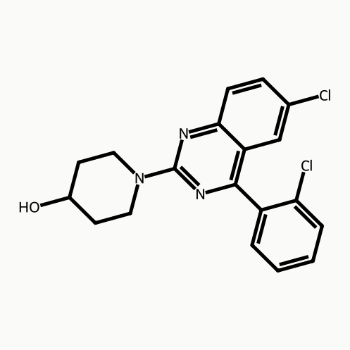 OC1CCN(c2nc(-c3ccccc3Cl)c3cc(Cl)ccc3n2)CC1